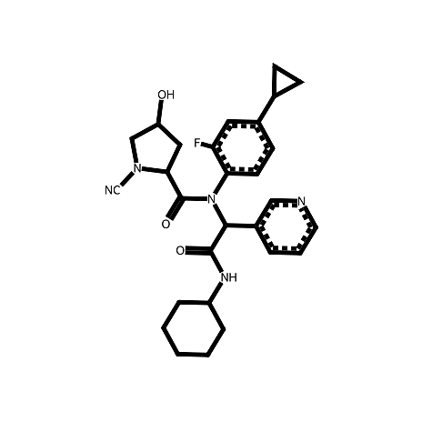 N#CN1CC(O)CC1C(=O)N(c1ccc(C2CC2)cc1F)C(C(=O)NC1CCCCC1)c1cccnc1